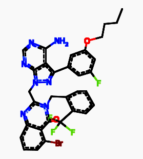 CCCCOc1cc(F)cc(-c2nn(Cc3nc4cccc(Br)c4c(=O)n3Cc3ccccc3C(F)(F)F)c3ncnc(N)c23)c1